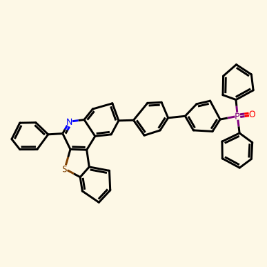 O=P(c1ccccc1)(c1ccccc1)c1ccc(-c2ccc(-c3ccc4nc(-c5ccccc5)c5sc6ccccc6c5c4c3)cc2)cc1